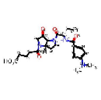 CC(C)C[C@H](NC(=O)c1ccc(N(C)C)cc1)C(=O)N1CC[C@@H]2C1C(=O)CN2C(=O)CCCC(=O)O